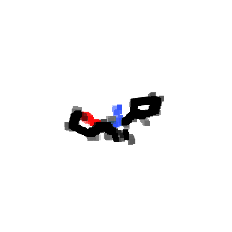 CC1(NCc2ccccc2)CCCO1